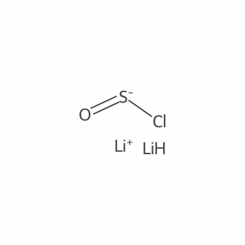 O=[S-]Cl.[Li+].[LiH]